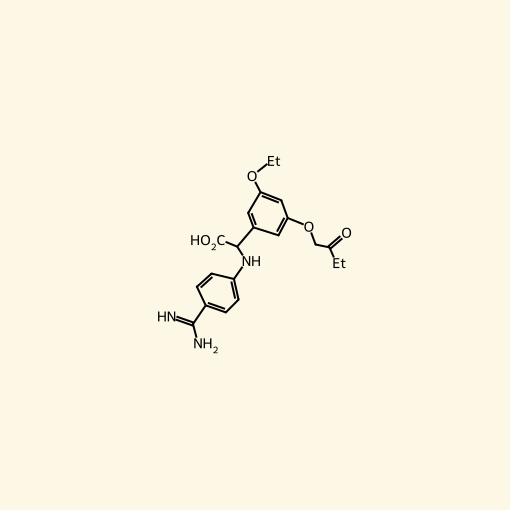 CCOc1cc(OCC(=O)CC)cc(C(Nc2ccc(C(=N)N)cc2)C(=O)O)c1